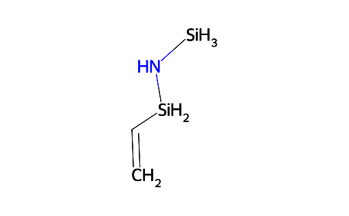 C=C[SiH2]N[SiH3]